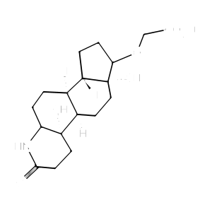 CCOC(=O)COC1CC[C@H]2[C@@H]3CCC4NC(=O)CC[C@]4(C)[C@@H]3CC[C@]12C